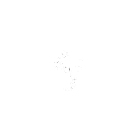 Cn1cc(Nc2nccc(-c3ccc4c(c3)CN(C3CCOCC3)CC[C@@H]4NC(=O)c3nnc(C(C)(C)C)o3)n2)cn1